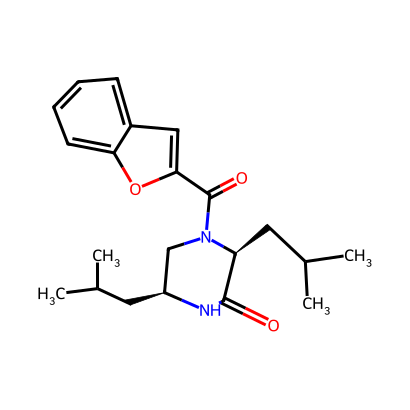 CC(C)C[C@H]1CN(C(=O)c2cc3ccccc3o2)[C@@H](CC(C)C)C(=O)N1